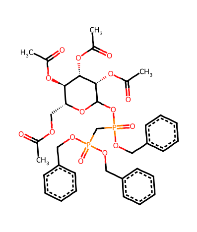 CC(=O)OC[C@H]1OC(OP(=O)(CP(=O)(OCc2ccccc2)OCc2ccccc2)OCc2ccccc2)[C@@H](OC(C)=O)[C@@H](OC(C)=O)[C@@H]1OC(C)=O